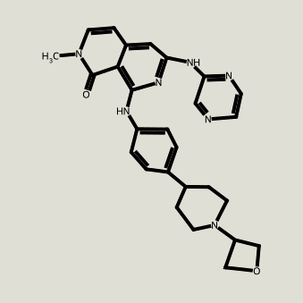 Cn1ccc2cc(Nc3cnccn3)nc(Nc3ccc(C4CCN(C5COC5)CC4)cc3)c2c1=O